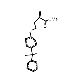 C=C(CCOc1ccc(C(C)(C)c2ccccc2)cc1)C(=O)OC